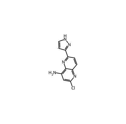 Nc1cc(Cl)nc2ccc(-c3[c]c[nH]n3)nc12